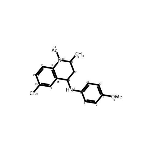 COc1ccc(NC2CC(C)N(C(C)=O)c3ccc(Cl)cc32)cc1